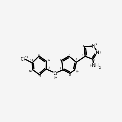 NC1=N[N]C=C1c1ccc(Oc2ccc(Cl)cc2)cc1